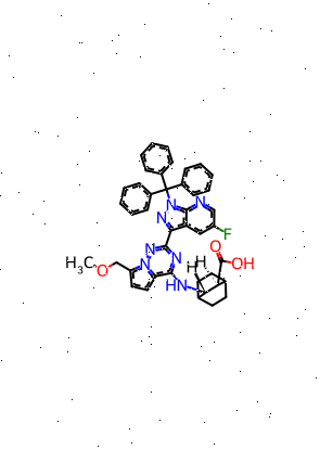 COCc1ccc2c(N[C@H]3C4CCC(CC4)[C@@H]3C(=O)O)nc(-c3nn(C(c4ccccc4)(c4ccccc4)c4ccccc4)c4ncc(F)cc34)nn12